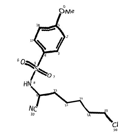 COc1ccc(S(=O)(=O)NC(C#N)CCCCCCl)cc1